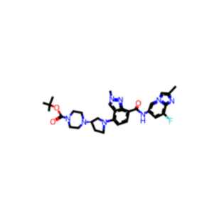 Cc1cn2cc(NC(=O)c3ccc(N4CC[C@@H](N5CCN(C(=O)OC(C)(C)C)CC5)C4)c4cn(C)nc34)cc(F)c2n1